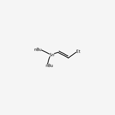 CCC=[CH][Sn]([CH2]CCC)[CH2]CCC